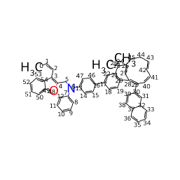 C/C=C\c1c(CN(c2ccccc2)c2ccc(-c3ccc4c(c3)C(C)(C)C3=C\C4=C(C4=CC5C=CC=CC5C=C4)/C=C\C=C\CC3)cc2)oc2ccccc12